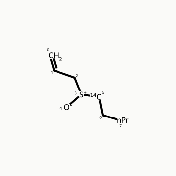 C=CC[S+]([O-])[14CH2]CCCC